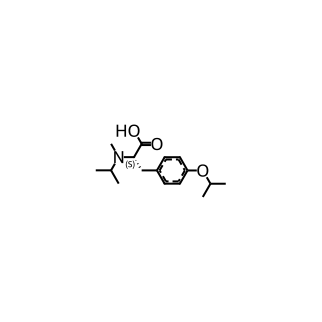 CC(C)Oc1ccc(C[C@@H](C(=O)O)N(C)C(C)C)cc1